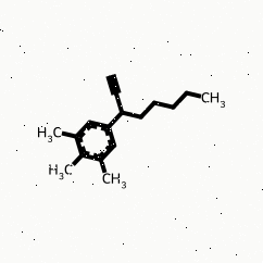 [C]#CC(CCCCC)c1cc(C)c(C)c(C)c1